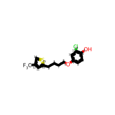 Oc1ccc(OCCCCc2cc(C(F)(F)F)cs2)cc1Cl